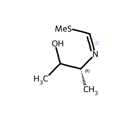 CS/C=N\[C@H](C)C(C)O